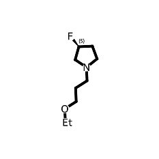 CCOCCCN1CC[C@H](F)C1